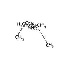 CCCCCCCCCCCCCCCC(C)Cn1c2ncnc3c(ncn3C(=O)C(C)CCCCCCCCCCC)c-2nc1=O